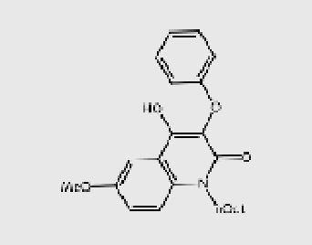 CCCCCCCCn1c(=O)c(Oc2ccccc2)c(O)c2cc(OC)ccc21